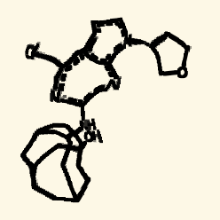 OC12CC3CC(C1)C(Nc1nc(Cl)c4ccn([C@H]5CCOC5)c4n1)C(C3)C2